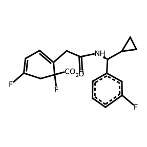 O=C(CC1=CC=C(F)CC1(F)C(=O)O)N[C@H](c1cccc(F)c1)C1CC1